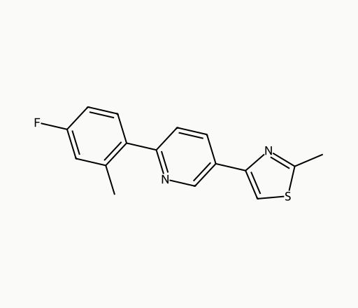 Cc1nc(-c2ccc(-c3ccc(F)cc3C)nc2)cs1